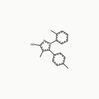 Cc1ccc(-c2c(C)c(O)nn2-c2ccccc2C)cc1